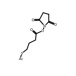 CC(=O)SCCCC(=O)ON1C(=O)CCC1=O